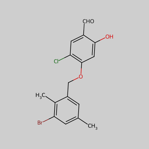 Cc1cc(Br)c(C)c(COc2cc(O)c(C=O)cc2Cl)c1